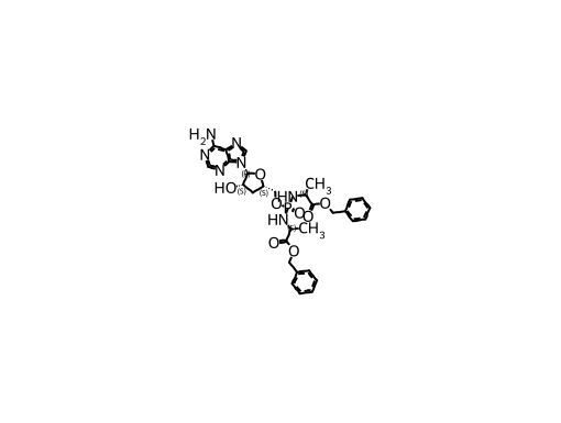 C[C@H](NP(=O)(N[C@@H](C)C(=O)OCc1ccccc1)OC[C@@H]1C[C@H](O)[C@H](n2cnc3c(N)ncnc32)O1)C(=O)OCc1ccccc1